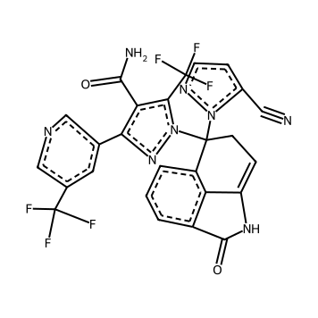 N#Cc1ccnn1C1(n2nc(-c3cncc(C(F)(F)F)c3)c(C(N)=O)c2C(F)(F)F)CC=C2NC(=O)c3cccc1c32